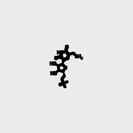 C=P(C)(C)CC[C@H]1O[C@@H](n2cc(CN)c(=O)[nH]c2=O)[C@H](O)[C@@H]1O